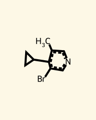 Cc1cncc(Br)c1C1CC1